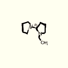 OCN1CCC[C@@H]1N1CCCC1